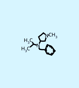 CC(C)N(Cc1ccccc1)C1CCN(C)C1